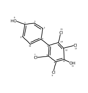 Oc1ccc(-c2c(Cl)c(Cl)c(O)c(Cl)c2Cl)cc1